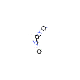 COc1cc(-c2cc(N[S+]([O-])c3ccccc3Cl)nn2C)cc2cnc(N[C@H]3CC[C@H](N)CC3)nc12